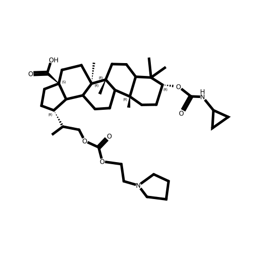 CC(COC(=O)OCCN1CCCC1)[C@@H]1CC[C@]2(C(=O)O)CC[C@]3(C)C(CCC4[C@@]5(C)CC[C@@H](OC(=O)NC6CC6)C(C)(C)C5CC[C@]43C)C12